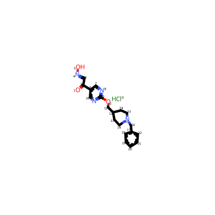 Cl.O=C(C=NO)c1cnc(OCC2CCN(Cc3ccccc3)CC2)nc1